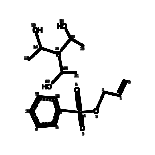 C=CCOS(=O)(=O)c1ccccc1.CC(O)N(C(C)O)C(C)O